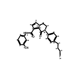 N#Cc1cccc(NC(=O)c2cnn3c2C(=O)N(c2ccc(CCCF)cc2)CC3)c1